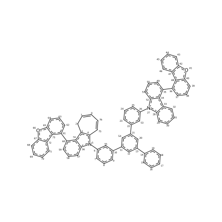 C1=CCc2c(n(-c3cccc(-c4cc(-c5ccccc5)cc(-c5cccc(-n6c7ccccc7c7c(-c8cccc9oc%10ccccc%10c89)cccc76)c5)c4)c3)c3cccc(-c4cccc5oc6ccccc6c45)c23)C=C1